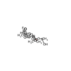 Cc1c(Nc2nc3cccc(F)c3s2)nnc2c1CCCN2c1ccc(-c2cnn(CC34CC5(C)CC(C)(C3)CC(OCCN(C)CCCCO)(C5)C4)c2C)c(C(=O)O)n1